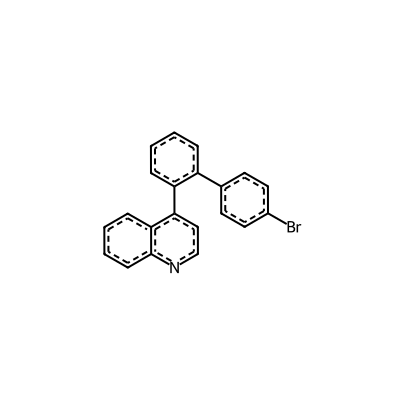 Brc1ccc(-c2ccccc2-c2ccnc3ccccc23)cc1